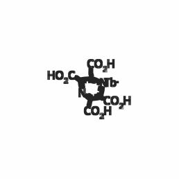 O=C(O)c1nc(C(=O)O)c(C(=O)O)nc1C(=O)O.[Tb]